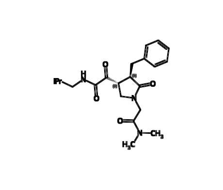 CC(C)CNC(=O)C(=O)[C@H]1CN(CC(=O)N(C)C)C(=O)[C@@H]1Cc1ccccc1